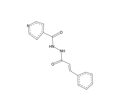 O=C(C=Cc1ccccc1)NNC(=O)c1ccncc1